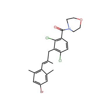 C/C(=C\c1c(C)cc(Br)cc1C)Cc1c(Cl)ccc(C(=O)N2CCOCC2)c1Cl